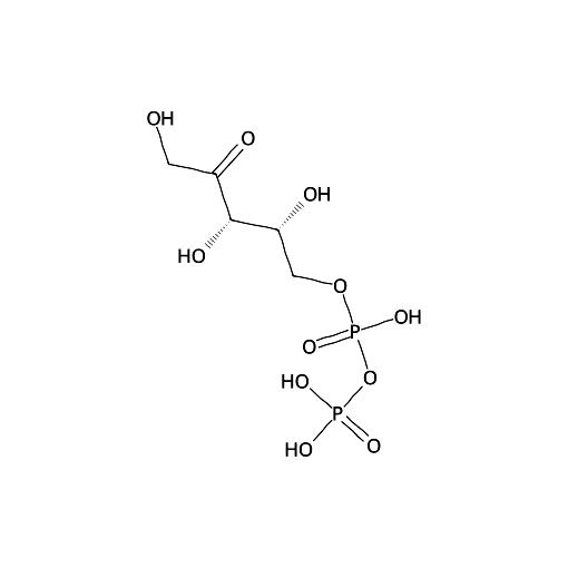 O=C(CO)[C@@H](O)[C@H](O)COP(=O)(O)OP(=O)(O)O